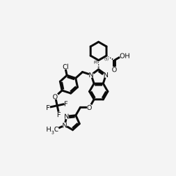 Cn1ccc(COc2ccc3nc([C@@H]4CCCC[C@@H]4C(=O)O)n(Cc4ccc(OC(F)(F)F)cc4Cl)c3c2)n1